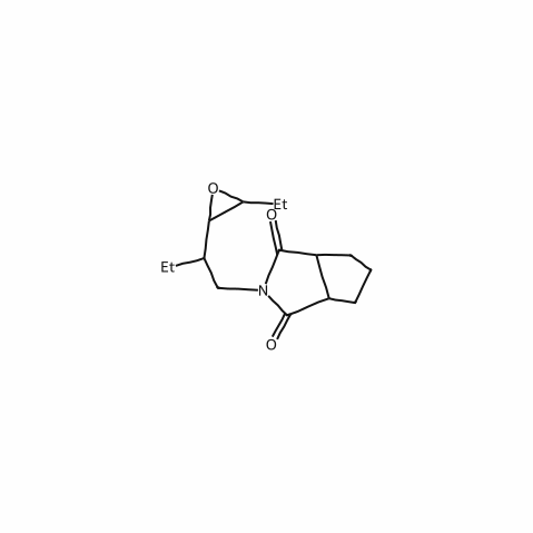 CCC(CN1C(=O)C2CCCC2C1=O)C1OC1CC